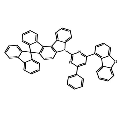 c1ccc(-c2cc(-c3cccc4oc5ccccc5c34)nc(-n3c4ccccc4c4c5c(ccc43)C3(c4ccccc4-c4ccccc43)c3ccccc3-5)n2)cc1